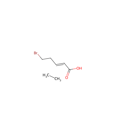 CC.O=C(O)C=CCCBr